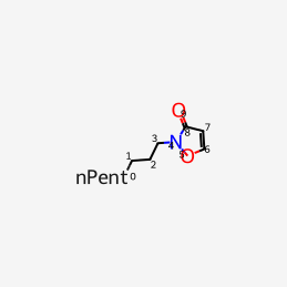 CCCCCCCCn1occc1=O